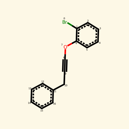 Brc1ccccc1OC#CCc1ccccc1